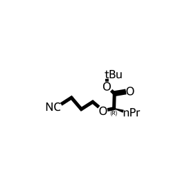 CCC[C@@H](OCCCC#N)C(=O)OC(C)(C)C